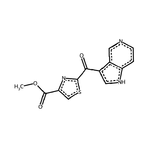 COC(=O)c1csc(C(=O)c2c[nH]c3ccncc23)n1